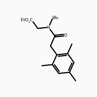 CCOC(=O)CN(C(=O)Cc1c(C)cc(C)cc1C)C(C)CC